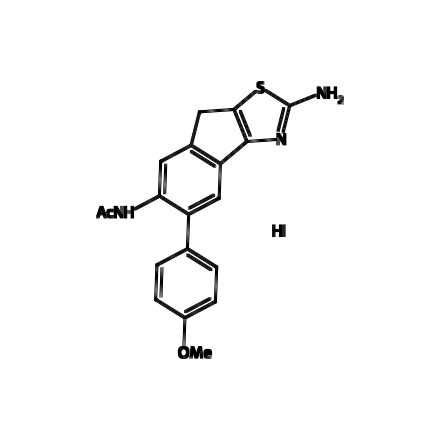 COc1ccc(-c2cc3c(cc2NC(C)=O)Cc2sc(N)nc2-3)cc1.I